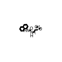 C[C@@H](CCS(C)(=O)=O)NC(=O)Nc1cccc2ccccc12